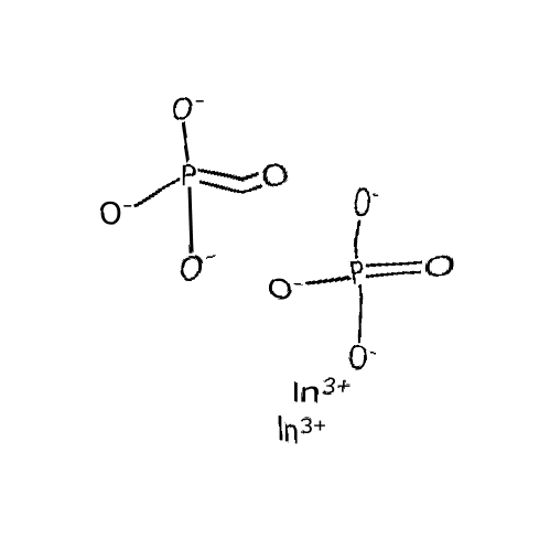 O=P([O-])([O-])[O-].O=P([O-])([O-])[O-].[In+3].[In+3]